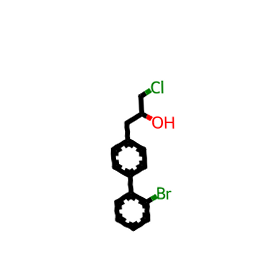 OC(CCl)Cc1ccc(-c2ccccc2Br)cc1